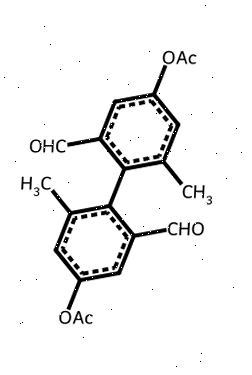 CC(=O)Oc1cc(C)c(-c2c(C)cc(OC(C)=O)cc2C=O)c(C=O)c1